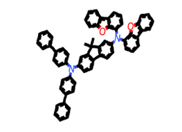 CC1(C)c2cc(N(c3ccc(-c4ccccc4)cc3)c3ccc(-c4ccccc4)cc3)ccc2-c2ccc(N(c3cccc4c3oc3ccccc34)c3cccc4c3oc3ccccc34)cc21